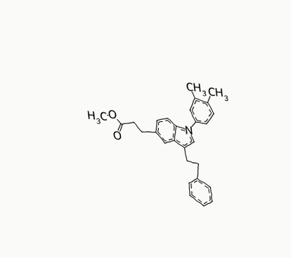 COC(=O)CCc1ccc2c(c1)c(CCc1ccccc1)cn2-c1ccc(C)c(C)c1